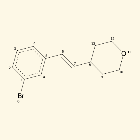 Brc1cccc(C=CC2CCOCC2)c1